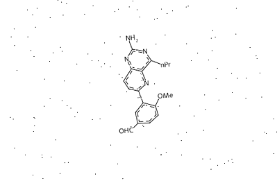 CCCc1nc(N)nc2ccc(-c3cc(C=O)ccc3OC)nc12